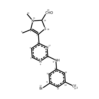 CC1=C(c2ccnc(Nc3cc(Br)cc(C(F)(F)F)c3)n2)SC(C=O)N1C